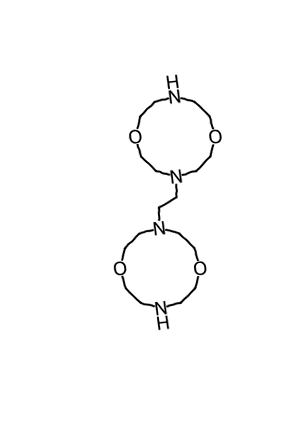 C1COCCN(CCN2CCOCCNCCOCC2)CCOCCN1